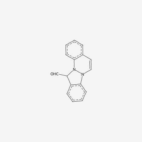 O=CC1c2ccccc2N2C=Cc3ccccc3N12